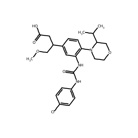 COCC(CC(=O)O)c1ccc(N2CCOCC2C(C)C)c(NC(=O)Nc2ccc(Cl)cc2)c1